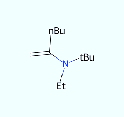 C=C(CCCC)N(CC)C(C)(C)C